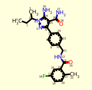 CCC(C)n1nc(-c2ccc(CNC(=O)c3cc(F)ccc3C)cc2)c(C(N)=O)c1N